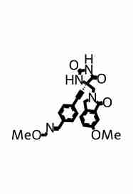 COC/N=C/c1ccc(C#C[C@]2(CN3Cc4ccc(OC)cc4C3=O)NC(=O)NC2=O)cc1